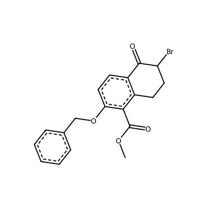 COC(=O)c1c(OCc2ccccc2)ccc2c1CCC(Br)C2=O